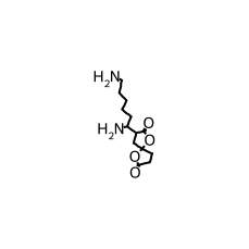 NCCCCCC(N)C1CC2(CCC(=O)O2)OC1=O